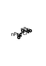 CCCN1C(=CC=C2CCCC(C=CC3=[N+](CCC)c4ccccc4C3(C)C)=C2Cl)C(C)(C)c2ccccc21